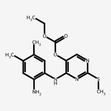 CCOC(=O)Oc1cnc(SC)nc1Nc1cc(C)c(C)cc1N